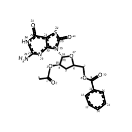 CC(=O)O[C@@H]1CC(COC(=O)c2ccccc2)O[C@H]1n1c(=O)sc2c(=O)[nH]c(N)nc21